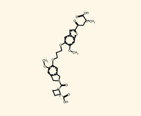 COc1cc2c(cc1OCCCOc1cc3cc(C(=O)C[C@H](C)C(=O)O)sc3cc1OC)CN(C(=O)[C@@H]1CC[C@H]1C(=O)O)C2